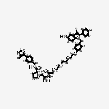 Cc1ncsc1-c1ccc(CNC(=O)C2CCCN2C(=O)C(NC(=O)COCCOCCOCCOc2ccc(Cn3c(-c4ccccc4)c(C)c4cc(O)ccc43)cc2)C(C)(C)C)cc1